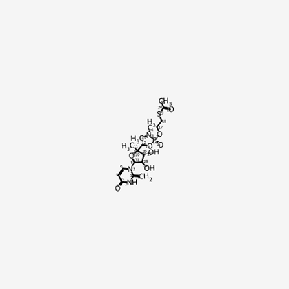 C=C1NC(=O)C=CN1[C@H]1O[C@](C)(COP(=O)(OCCSC(C)=O)N(C)C)[C@H](O)C1O